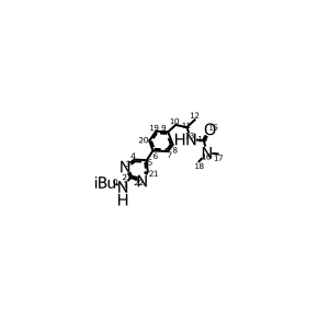 CCC(C)Nc1ncc(-c2ccc(CC(C)NC(=O)N(C)C)cc2)cn1